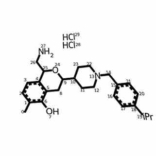 Cc1ccc2c(c1O)CC(C1CCN(Cc3ccc(C(C)C)cc3)CC1)OC2CN.Cl.Cl